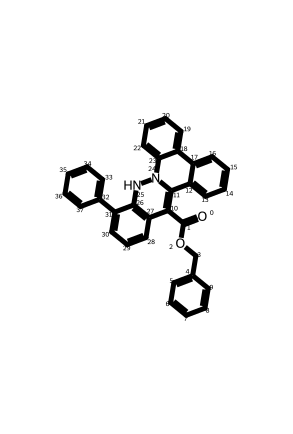 O=C(OCc1ccccc1)C1=C2c3ccccc3-c3ccccc3N2Nc2c1cccc2-c1ccccc1